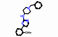 COc1ccccc1-c1ccnc(NC2CCN(Cc3ccccc3)CC2)n1